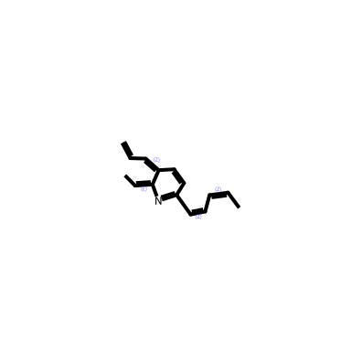 C=C/C=c1/ccc(/C=C\C=C/C)n/c1=C/C